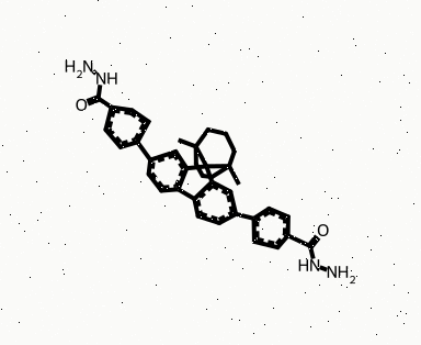 CC12CCCC(C)(CCC1)C21c2cc(-c3ccc(C(=O)NN)cc3)ccc2-c2ccc(-c3ccc(C(=O)NN)cc3)cc21